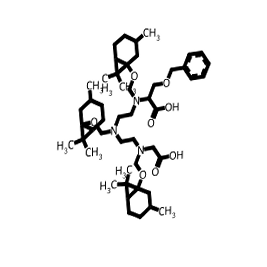 CC1CCC2C(C)(C)C2(OCN(CCN(COC23CC(C)CCC2C3(C)C)CC(=O)O)CCN(COC23CC(C)CCC2C3(C)C)C(COCc2ccccc2)C(=O)O)C1